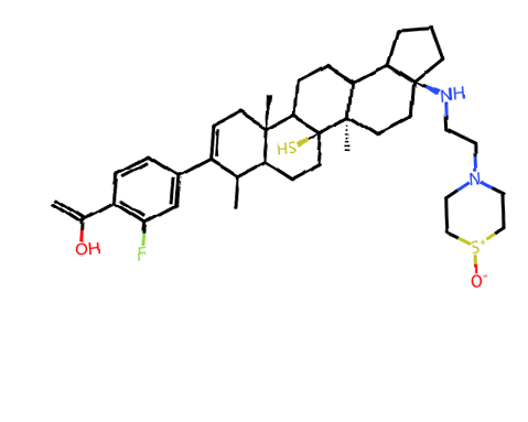 C=C(O)c1ccc(C2=CC[C@@]3(C)C(CC[C@]4(S)C3CCC3C5CCC[C@]5(NCCN5CC[S+]([O-])CC5)CC[C@]34C)C2C)cc1F